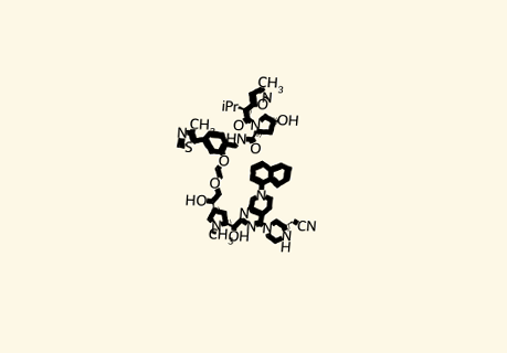 Cc1cc([C@@H](C(=O)N2C[C@H](O)C[C@H]2C(=O)NCc2ccc(-c3scnc3C)cc2OCCOCC(O)[C@@H]2C[C@@H](C(O)c3nc4c(c(N5CCN[C@@H](CC#N)C5)n3)CCN(c3cccc5ccccc35)C4)N(C)C2)C(C)C)on1